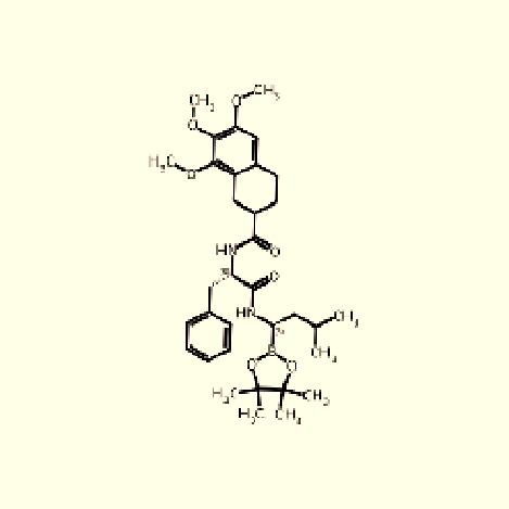 COc1cc2c(c(OC)c1OC)CC(C(=O)N[C@@H](Cc1ccccc1)C(=O)N[C@@H](CC(C)C)B1OC(C)(C)C(C)(C)O1)CC2